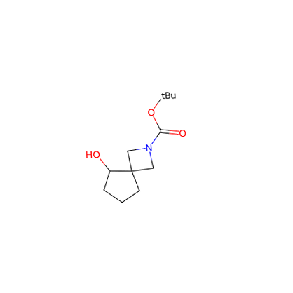 CC(C)(C)OC(=O)N1CC2(CCCC2O)C1